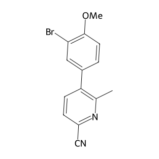 COc1ccc(-c2ccc(C#N)nc2C)cc1Br